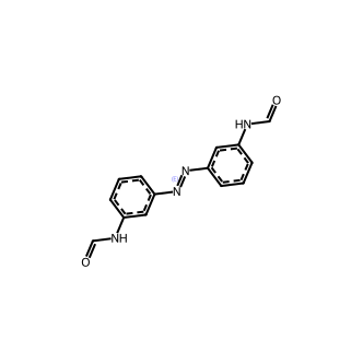 O=CNc1cccc(/N=N/c2cccc(NC=O)c2)c1